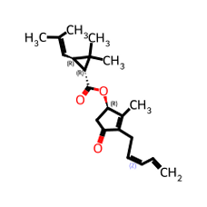 C=C/C=C\CC1=C(C)[C@H](OC(=O)[C@@H]2[C@@H](C=C(C)C)C2(C)C)CC1=O